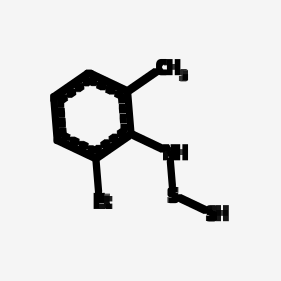 CCc1cccc(C)c1NSS